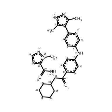 Cc1n[nH]c(C)c1-c1ccc(Nc2ccc(C(=O)[C@@H](NC(=O)c3ccnn3C)C3CCCCC3)cc2)cn1